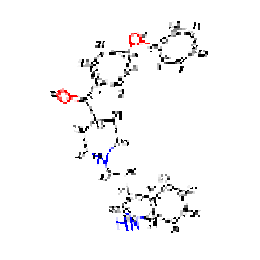 O=C(c1ccc(Oc2ccccc2)cc1)C1CCN(CCc2c[nH]c3ccccc23)CC1